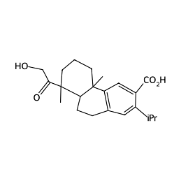 CC(C)c1cc2c(cc1C(=O)O)C1(C)CCCC(C)(C(=O)CO)C1CC2